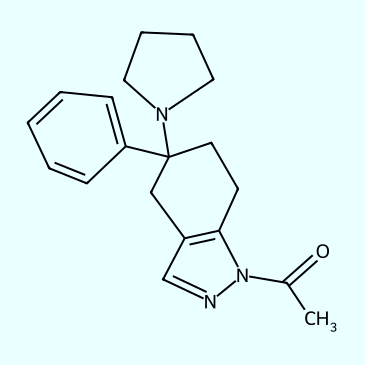 CC(=O)n1ncc2c1CCC(c1ccccc1)(N1CCCC1)C2